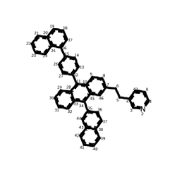 c1cncc(CCc2ccc3c(-c4ccc(-c5cccc6ccccc56)cc4)c4ccccc4c(-c4ccc5ccccc5c4)c3c2)c1